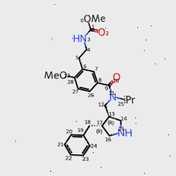 COC(=O)NCCc1cc(C(=O)N(C[C@H]2CNC[C@@H]2Cc2ccccc2)C(C)C)ccc1OC